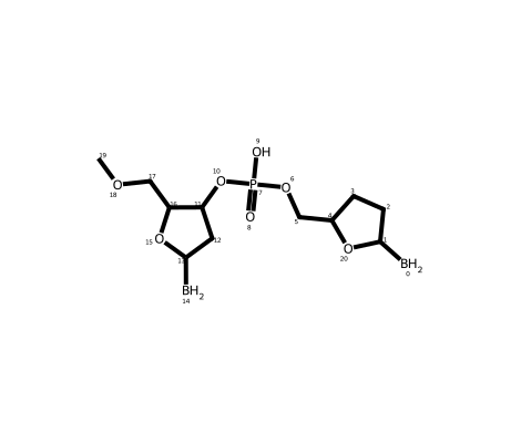 BC1CCC(COP(=O)(O)OC2CC(B)OC2COC)O1